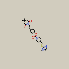 Cn1ccnc1SCC1CCN(C(=O)Oc2ccc(CCN3C(=O)CC(C)(C)CC3=O)cc2)CC1